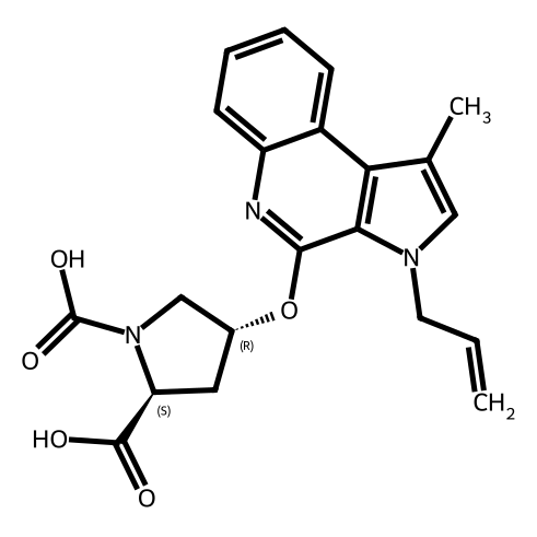 C=CCn1cc(C)c2c3ccccc3nc(O[C@@H]3C[C@@H](C(=O)O)N(C(=O)O)C3)c21